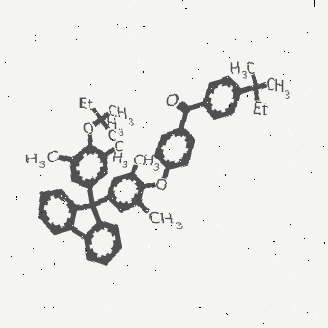 CCC(C)(C)Oc1c(C)cc(C2(c3cc(C)c(Oc4ccc(C(=O)c5ccc(C(C)(C)CC)cc5)cc4)c(C)c3)c3ccccc3-c3ccccc32)cc1C